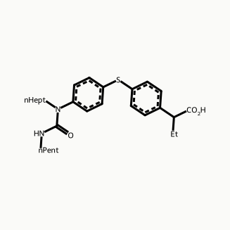 CCCCCCCN(C(=O)NCCCCC)c1ccc(Sc2ccc(C(CC)C(=O)O)cc2)cc1